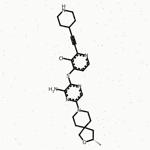 C[C@H]1CC2(CCN(c3cnc(Sc4ccnc(C#CC5CCNCC5)c4Cl)c(N)n3)CC2)CO1